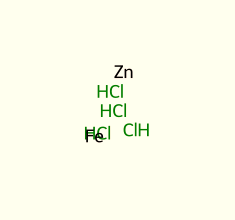 Cl.Cl.Cl.Cl.[Fe].[Zn]